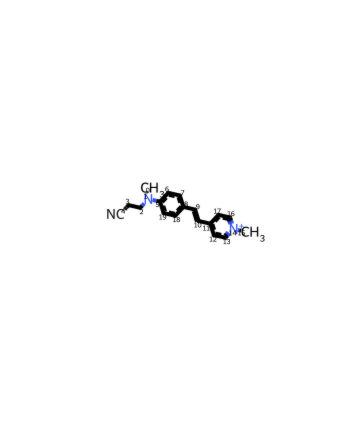 CN(CCC#N)c1ccc(C=Cc2cc[n+](C)cc2)cc1